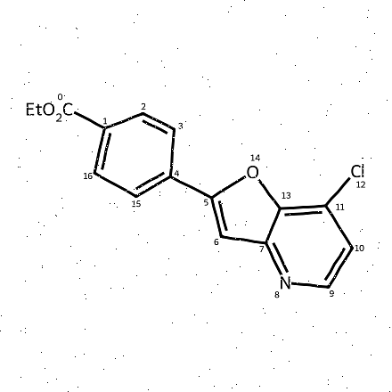 CCOC(=O)c1ccc(-c2cc3nccc(Cl)c3o2)cc1